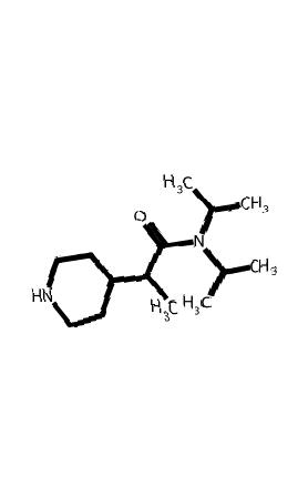 CC(C(=O)N(C(C)C)C(C)C)C1CCNCC1